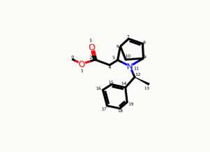 COC(=O)CC1C2C=CC(C2)N1[C@@H](C)c1ccccc1